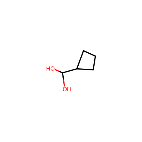 O[C](O)C1CCC1